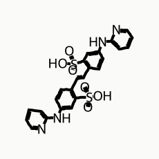 O=S(=O)(O)c1cc(Nc2ccccn2)ccc1C=Cc1ccc(Nc2ccccn2)cc1S(=O)(=O)O